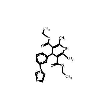 CCOC(=O)C1=C(C)NC(C)=C(C(=O)OCC)C1c1cccc(-n2ccnc2)c1